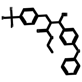 CCOC(=O)C(Cc1ccc(C(F)(F)F)cc1)C(O)c1ccc(Oc2ccccc2)cc1